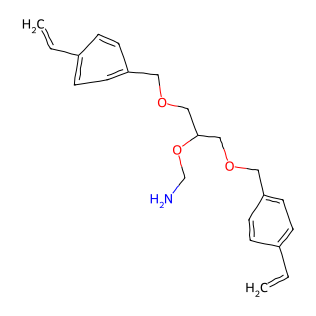 C=Cc1ccc(COCC(COCc2ccc(C=C)cc2)OCN)cc1